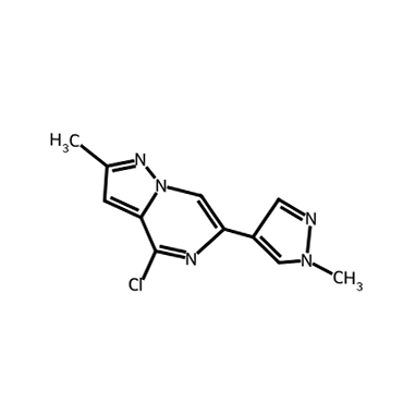 Cc1cc2c(Cl)nc(-c3cnn(C)c3)cn2n1